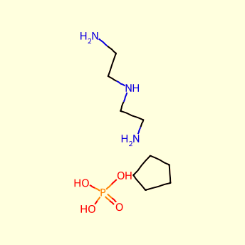 C1CCCC1.NCCNCCN.O=P(O)(O)O